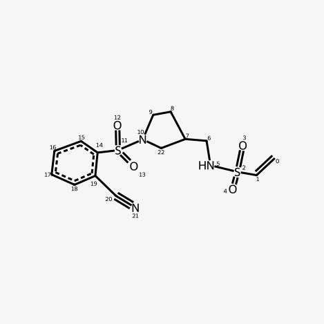 C=CS(=O)(=O)NCC1CCN(S(=O)(=O)c2ccccc2C#N)C1